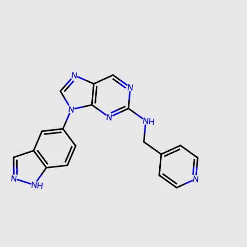 c1cc(CNc2ncc3ncn(-c4ccc5[nH]ncc5c4)c3n2)ccn1